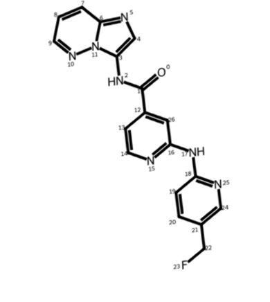 O=C(Nc1cnc2cccnn12)c1ccnc(Nc2ccc(CF)cn2)c1